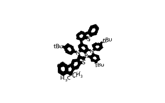 CC(C)(C)c1ccc(N2c3ccc(C(C)(C)C)cc3B3c4sc5cc6c(cc5c4N(c4ccc(C(C)(C)C)cc4)c4cc(-c5cccc7c5sc5ccccc57)cc2c43)-c2ccccc2C6(C)C)cc1